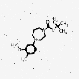 COc1cc(N2CCCN(C(=O)OC(C)(C)C)CC2)ccc1C